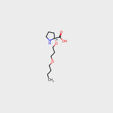 CCCCOCCCO[C@@]1(C(=O)O)CCCN1